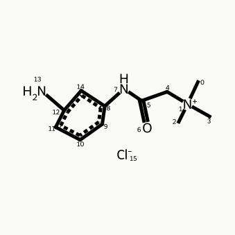 C[N+](C)(C)CC(=O)Nc1cccc(N)c1.[Cl-]